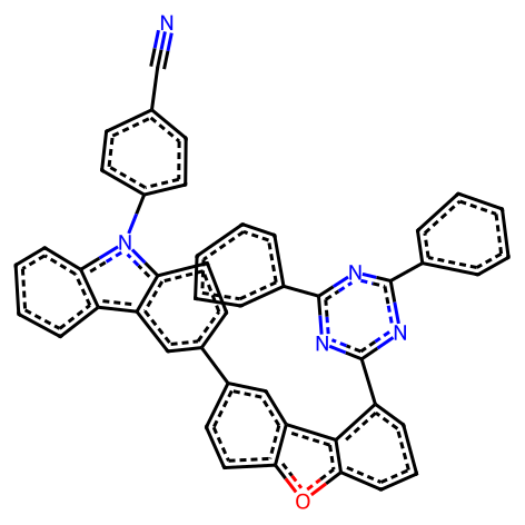 N#Cc1ccc(-n2c3ccccc3c3cc(-c4ccc5oc6cccc(-c7nc(-c8ccccc8)nc(-c8ccccc8)n7)c6c5c4)ccc32)cc1